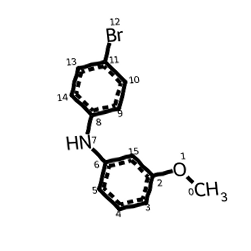 COc1cccc(Nc2ccc(Br)cc2)c1